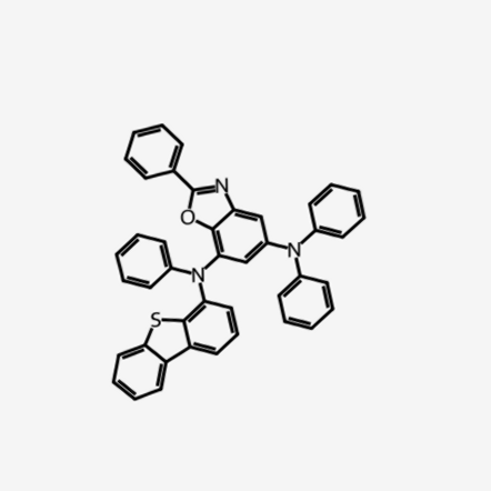 c1ccc(-c2nc3cc(N(c4ccccc4)c4ccccc4)cc(N(c4ccccc4)c4cccc5c4sc4ccccc45)c3o2)cc1